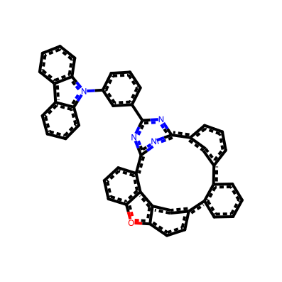 c1cc(-c2nc3nc(n2)c2cccc4oc5ccc(cc5c42)c2ccccc2c2cccc3c2)cc(-n2c3ccccc3c3ccccc32)c1